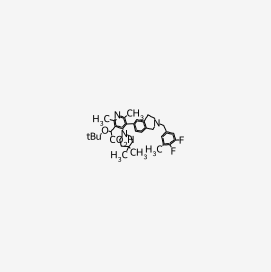 Cc1cc(CN2CCc3cc(-c4c(C)nc(C)c(C(OC(C)(C)C)C(=O)O)c4N4CCC(C)(C)CC4)ccc3C2)cc(F)c1F